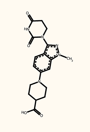 Cn1nc(N2CCC(=O)NC2=O)c2ccc(N3CCC(C(=O)O)CC3)cc21